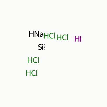 Cl.Cl.Cl.Cl.I.[NaH].[Si]